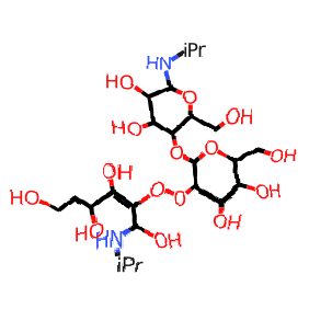 CC(C)NC(O)/C(OOC1C(OC2C(CO)OC(NC(C)C)C(O)C2O)OC(CO)C(O)C1O)=C(/O)C(O)CCO